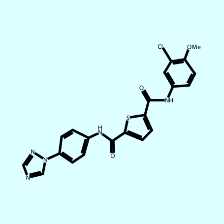 COc1ccc(NC(=O)c2ccc(C(=O)Nc3ccc(-n4cncn4)cc3)s2)cc1Cl